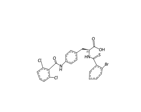 O=C(Nc1ccc(C[C@H](NC(=S)c2ccccc2Br)C(=O)O)cc1)c1c(Cl)cccc1Cl